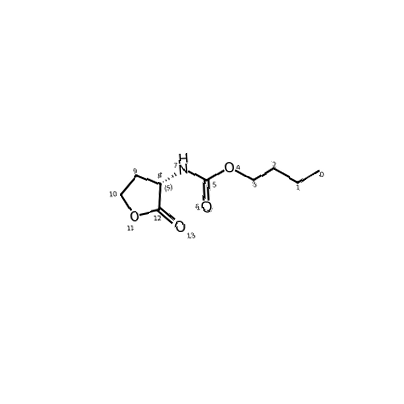 CCCCOC(=O)N[C@H]1CCOC1=O